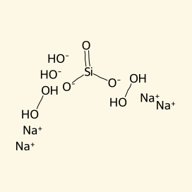 O=[Si]([O-])[O-].OO.OO.[Na+].[Na+].[Na+].[Na+].[OH-].[OH-]